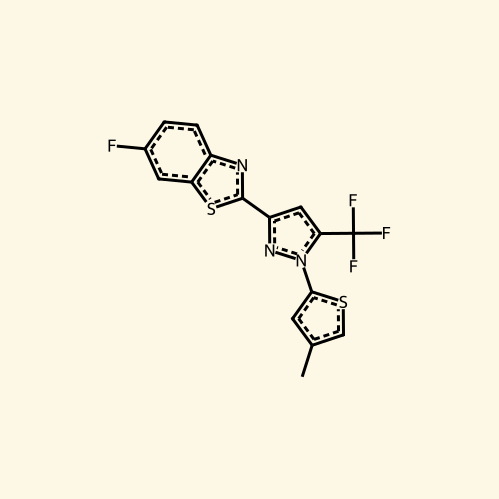 Cc1csc(-n2nc(-c3nc4ccc(F)cc4s3)cc2C(F)(F)F)c1